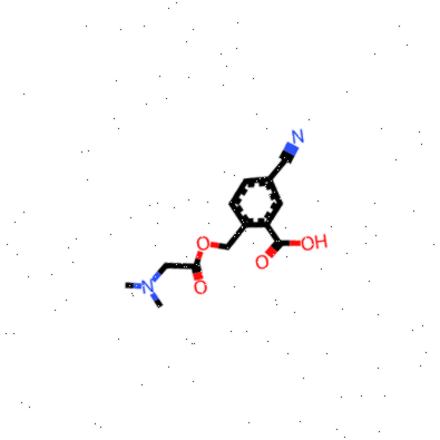 CN(C)CC(=O)OCc1ccc(C#N)cc1C(=O)O